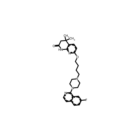 CC1(C)CC(=O)Nc2nc(OCCCCN3CCN(c4nccc5ccc(F)cc45)CC3)ccc21